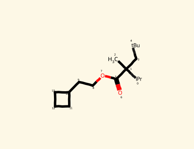 CC(C)C(C)(CC(C)(C)C)C(=O)OCCC1CCC1